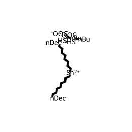 CCCCC(S)C(=O)[O-].CCCCC(S)C(=O)[O-].CCCCCCCCCCCCCCCCC[CH2][Sn+2][CH2]CCCCCCCCCCCCCCCCC